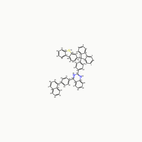 c1ccc2c(c1)-c1ccccc1C2(c1ccc(-c2nc(-c3ccc(-c4cccc5ccccc45)cc3)c3ccccc3n2)cc1)c1ccc2c(c1)sc1ccccc12